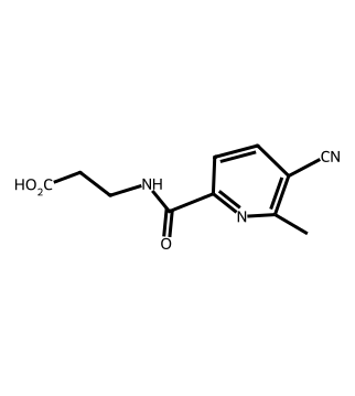 Cc1nc(C(=O)NCCC(=O)O)ccc1C#N